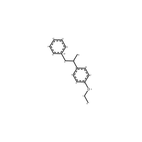 [CH2]COc1ccc(C(C)Cc2ccccc2)cc1